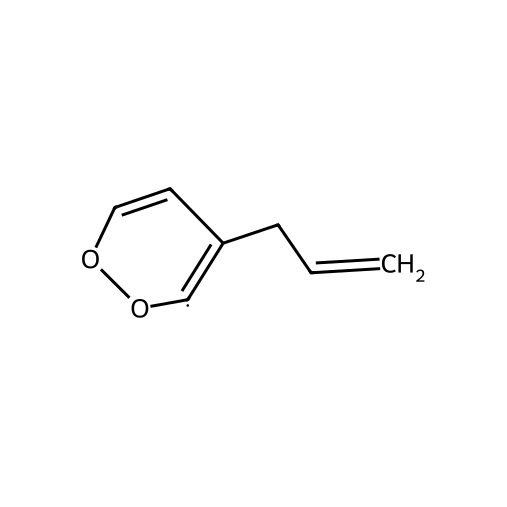 C=CCC1=[C]OOC=C1